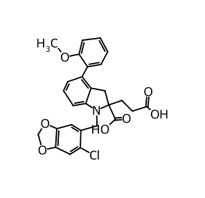 COc1ccccc1-c1cccc2c1CC(CCC(=O)O)(C(=O)O)N2Cc1cc2c(cc1Cl)OCO2